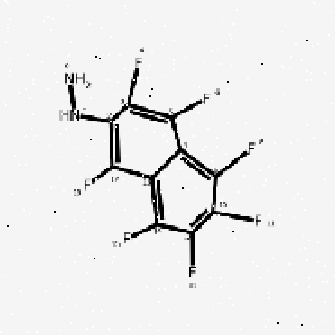 NNc1c(F)c(F)c2c(F)c(F)c(F)c(F)c2c1F